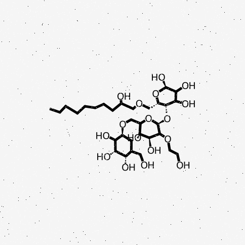 CCCCCCCCC(O)COC[C@@H]1O[C@@H](O)C(O)C(O)[C@@H]1O[C@@H]1OC(CO[C@H]2CC(CO)[C@H](O)[C@H](O)C2O)[C@@H](O)[C@H](O)C1OCCO